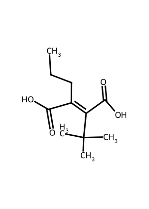 CCC/C(C(=O)O)=C(\C(=O)O)C(C)(C)C